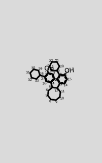 Oc1ccc(C2CCCCCCC2c2ccc(O)c(C3CCCCC3)c2)cc1C1CCCCC1